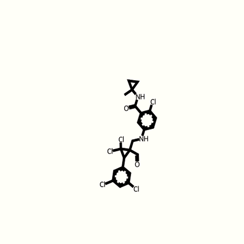 CC1(NC(=O)c2cc(NCC3(C=O)C(c4cc(Cl)cc(Cl)c4)C3(Cl)Cl)ccc2Cl)CC1